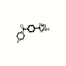 CN1CCN(C(=O)c2ccc(-c3nn[nH]n3)cc2)CC1